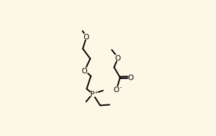 CC[P+](C)(C)CCOCCOC.COCC(=O)[O-]